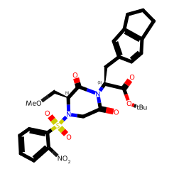 COC[C@H]1C(=O)N([C@@H](Cc2ccc3c(c2)CCC3)C(=O)OC(C)(C)C)C(=O)CN1S(=O)(=O)c1ccccc1[N+](=O)[O-]